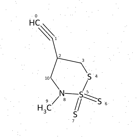 C#CC1CSS(=S)(=S)N(C)C1